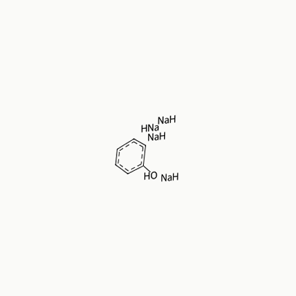 Oc1ccccc1.[NaH].[NaH].[NaH].[NaH]